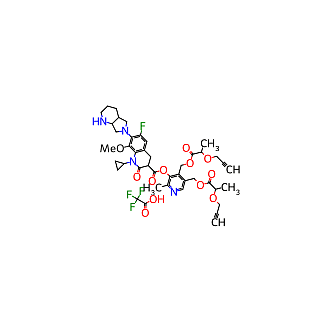 C#CCOC(C)C(=O)OCc1cnc(C)c(OC(=O)C2Cc3cc(F)c(N4CC5CCCNC5C4)c(OC)c3N(C3CC3)C2=O)c1COC(=O)C(C)OCC#C.O=C(O)C(F)(F)F